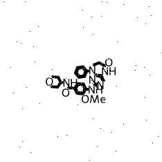 COc1cc(C(=O)NC2CCOCC2)ccc1Nc1ncc2c(n1)N(c1ccccc1)CCC(=O)N2